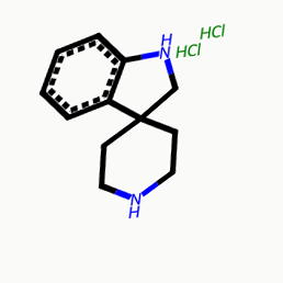 Cl.Cl.c1ccc2c(c1)NCC21CCNCC1